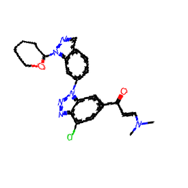 CN(C)/C=C/C(=O)c1cc(Cl)c2nnn(-c3ccc4cnn(C5CCCCO5)c4c3)c2c1